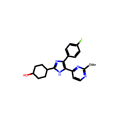 COc1nccc(-c2[nH]c(C3CCC(O)CC3)nc2-c2ccc(F)cc2)n1